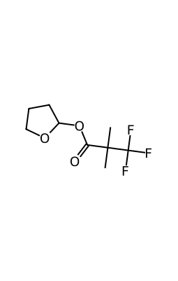 CC(C)(C(=O)OC1CCCO1)C(F)(F)F